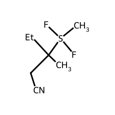 CCC(C)(CC#N)S(C)(F)F